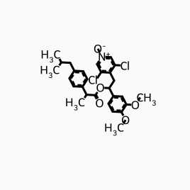 COc1ccc(C(Cc2c(Cl)c[n+]([O-])cc2Cl)OC(=O)C(C)c2ccc(CC(C)C)cc2)cc1OC